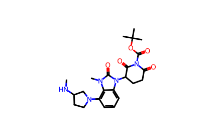 CNC1CCN(c2cccc3c2n(C)c(=O)n3C2CCC(=O)N(C(=O)OC(C)(C)C)C2=O)C1